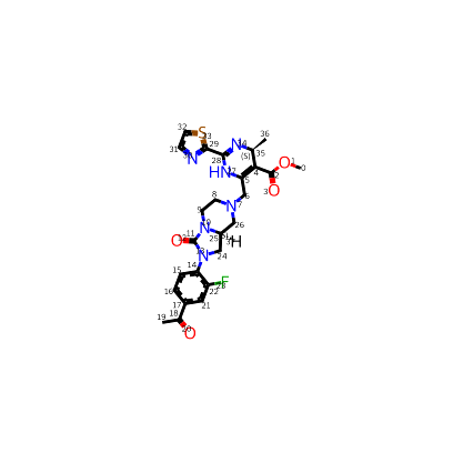 COC(=O)C1=C(CN2CCN3C(=O)N(c4ccc(C(C)=O)cc4F)C[C@@H]3C2)NC(c2nccs2)=N[C@H]1C